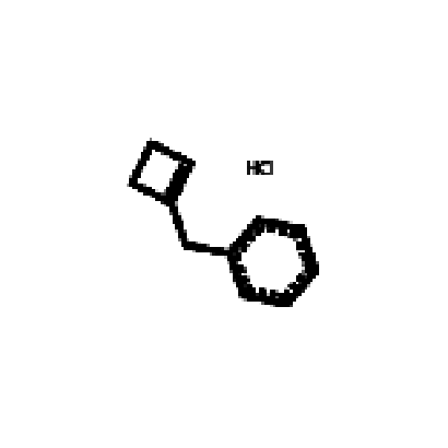 C1=C(Cc2ccccc2)CC1.Cl